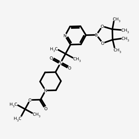 CC(C)(C)OC(=O)N1CCC(S(=O)(=O)C(C)(C)c2cc(B3OC(C)(C)C(C)(C)O3)ccn2)CC1